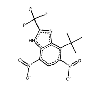 CC(C)(C)c1c([N+](=O)[O-])cc([N+](=O)[O-])c2[nH]c(C(F)(F)F)nc12